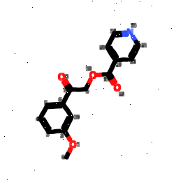 COc1cccc(C(=O)COC(=O)c2ccncc2)c1